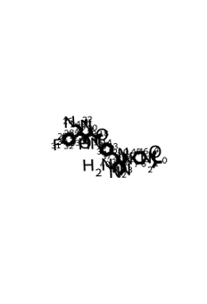 CC(C)C(=O)N1CCC(n2nc(-c3ccc(NC(=O)c4cn(C)c(C#N)c(-c5ccc(F)cc5)c4=O)cc3)c3c(N)ncnc32)CC1